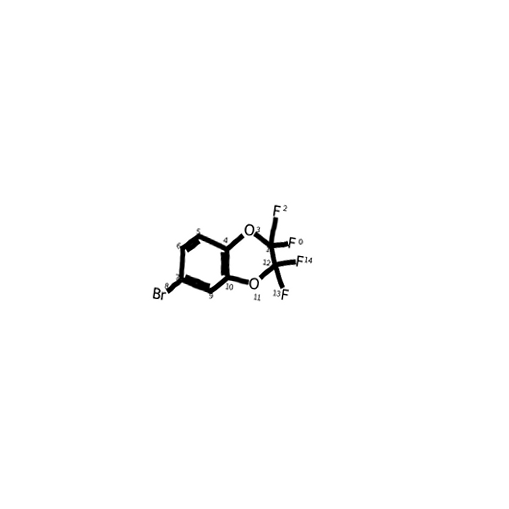 FC1(F)Oc2ccc(Br)cc2OC1(F)F